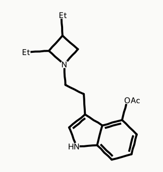 CCC1CN(CCc2c[nH]c3cccc(OC(C)=O)c23)C1CC